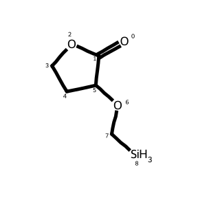 O=C1OCCC1OC[SiH3]